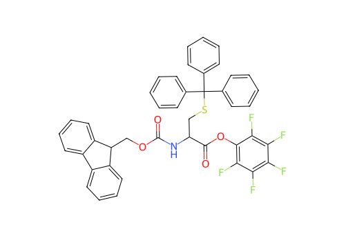 O=C(NC(CSC(c1ccccc1)(c1ccccc1)c1ccccc1)C(=O)Oc1c(F)c(F)c(F)c(F)c1F)OCC1c2ccccc2-c2ccccc21